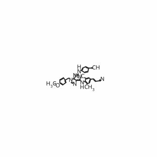 C#Cc1ccc(Nc2nc(Nc3c(C)cc(/C=C/C#N)cc3C)c3ncn(Cc4ccc(OC)cc4)c3n2)cc1